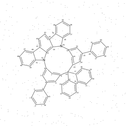 c1ccc(-c2cc3cc(c2)C(c2ccccc2)(c2ccccc2)c2cc(-c4ccccc4)cc(c2)-n2c4ccccc4c4ccc5c6ccccc6n-3c5c42)cc1